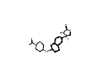 CC(C)[C@H]1CC[C@@H](Oc2ccc3cc([C@]4(C)COC(=O)N4)ccc3c2)CC1